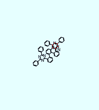 N#Cc1ccccc1-c1cccc(-c2ccccc2-c2nc(-c3ccccc3)nc(-c3ccccc3)n2)c1-c1ccccc1-c1nc(-c2ccccc2)nc(-c2ccccc2)n1